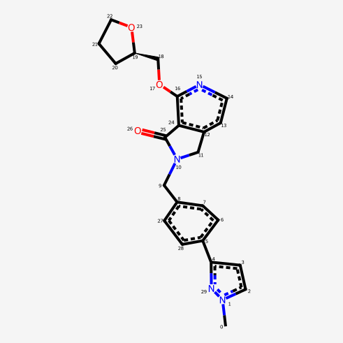 Cn1ccc(-c2ccc(CN3Cc4ccnc(OC[C@H]5CCCO5)c4C3=O)cc2)n1